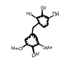 COc1cc(Cc2ccc(O)c(O)c2O)cc(OC)c1O